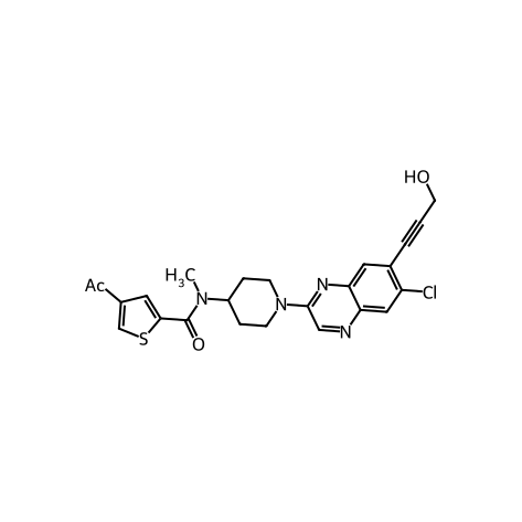 CC(=O)c1csc(C(=O)N(C)C2CCN(c3cnc4cc(Cl)c(C#CCO)cc4n3)CC2)c1